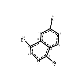 Brc1ccc2c(Br)nnc(Br)c2c1